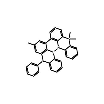 Cc1cc2c3c(c1)N(c1ccccc1)c1ccccc1B3N1c3ccccc3S(C)(C)c3cccc-2c31